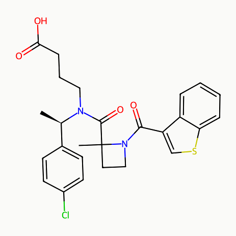 C[C@H](c1ccc(Cl)cc1)N(CCCC(=O)O)C(=O)C1(C)CCN1C(=O)c1csc2ccccc12